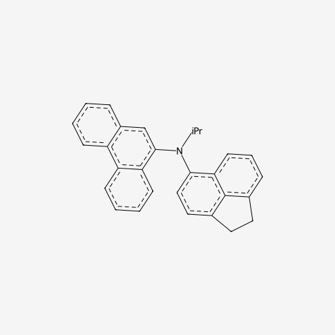 CC(C)N(c1ccc2c3c(cccc13)CC2)c1cc2ccccc2c2ccccc12